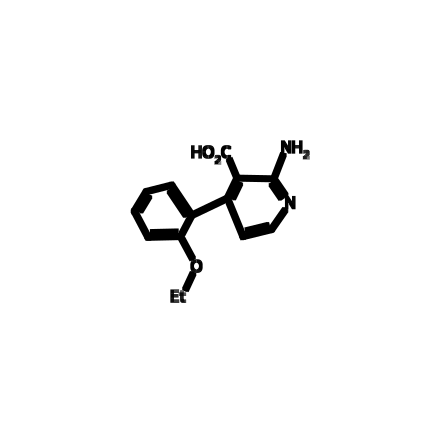 CCOc1ccccc1-c1ccnc(N)c1C(=O)O